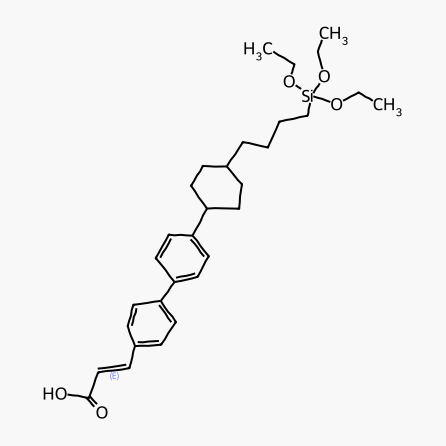 CCO[Si](CCCCC1CCC(c2ccc(-c3ccc(/C=C/C(=O)O)cc3)cc2)CC1)(OCC)OCC